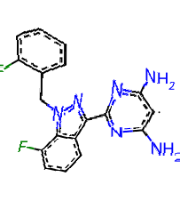 Nc1[c]c(N)nc(-c2nn(Cc3ccccc3F)c3c(F)cccc23)n1